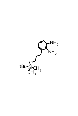 CC(C)(C)[Si](C)(C)OCCCc1cccc(N)c1N